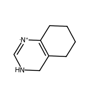 C1=[N+]C2=C(CCCC2)CN1